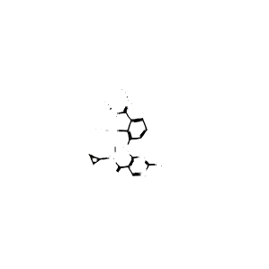 CNc1ncc(C(=O)NC2CC2)c(Nc2cccc(/C(=N/N)NN)c2OC)n1